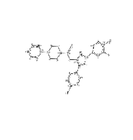 Cc1cc(-c2cn(-c3ccc(F)cc3)c(CC(=O)N3CCN(c4ncncn4)CC3)n2)ccc1Cl